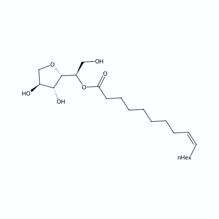 CCCCCC/C=C\CCCCCCCC(=O)O[C@H](CO)[C@H]1OC[C@H](O)[C@H]1O